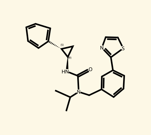 CC(C)N(Cc1cccc(-c2nccs2)c1)C(=O)N[C@@H]1C[C@H]1c1ccccc1